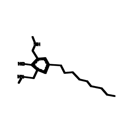 CCCCCCCCCc1cc(CNC)c(O)c(CNC)c1